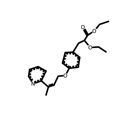 CCOC(=O)C(Cc1ccc(OCC=C(C)c2ccccn2)cc1)OCC